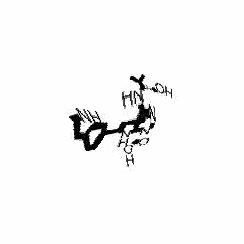 CC(C)[C@H](CO)Nc1ncnc2[nH]c(-c3ccc4cc[nH]c4c3)cc12.O=CO